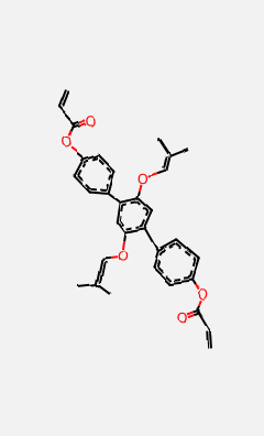 C=CC(=O)Oc1ccc(-c2cc(OC=C(C)C)c(-c3ccc(OC(=O)C=C)cc3)cc2OC=C(C)C)cc1